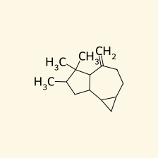 C=C1CCC2CC2C2CC(C)C(C)(C)C12